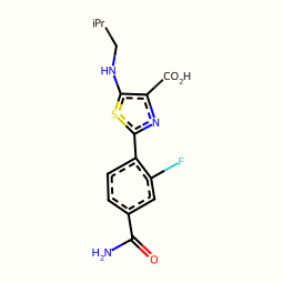 CC(C)CNc1sc(-c2ccc(C(N)=O)cc2F)nc1C(=O)O